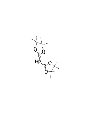 CC1(C)OB(PB2OC(C)(C)C(C)(C)O2)OC1(C)C